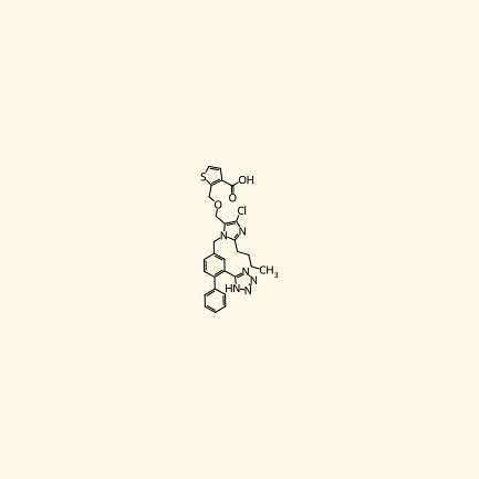 CCCCc1nc(Cl)c(COCc2sccc2C(=O)O)n1Cc1ccc(-c2ccccc2)c(-c2nnn[nH]2)c1